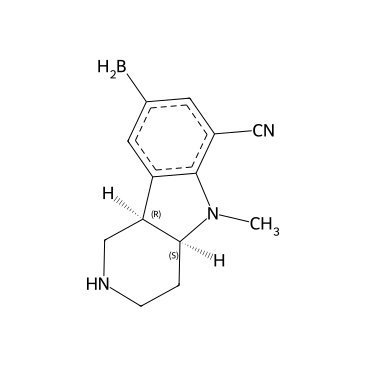 Bc1cc(C#N)c2c(c1)[C@@H]1CNCC[C@@H]1N2C